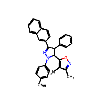 COc1ccc(N2N=C(c3ccc4ccccc4c3)C(c3ccccc3)C2c2onc(C)c2[N+](=O)[O-])cc1